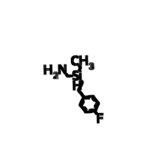 CC[SiH](CN)CCc1ccc(F)cc1